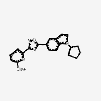 COc1cccc(-c2noc(-c3ccc4c(ccn4C4CCCC4)c3)n2)n1